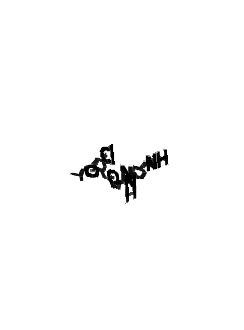 CNCc1ccc2[nH]c(-c3ccc(Cc4cc(Cl)ccc4OCC(C)C)o3)nc2c1